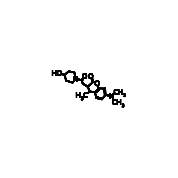 CC1c2ccc(N(C)C)cc2OC(=O)C1CC(=O)N1CCC(O)CC1